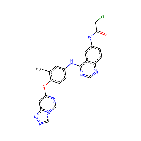 Cc1cc(Nc2ncnc3ccc(NC(=O)CCl)cc23)ccc1Oc1cc2nncn2cn1